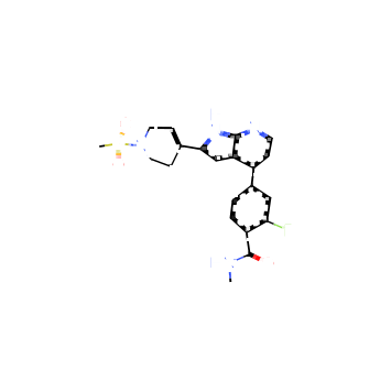 CNC(=O)c1ccc(-c2ccnc3[nH]c(C4=CCN(S(C)(=O)=O)CC4)cc23)cc1F